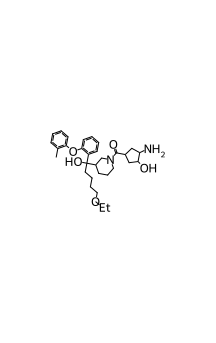 CCOCCCCC(O)(c1ccccc1Oc1ccccc1C)C1CCCN(C(=O)C2CC(N)C(O)C2)C1